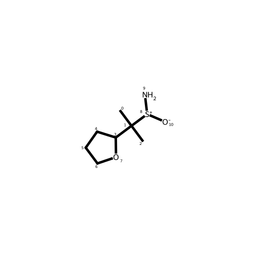 CC(C)(C1CCCO1)[S+](N)[O-]